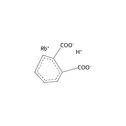 O=C([O-])c1ccccc1C(=O)[O-].[H+].[Rb+]